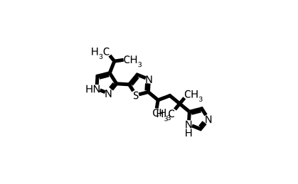 CC(C)c1c[nH]nc1-c1cnc(C(C)CC(C)(C)c2cnc[nH]2)s1